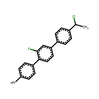 CCCc1ccc(-c2ccc(-c3ccc(C(C)Cl)cc3)cc2F)cc1